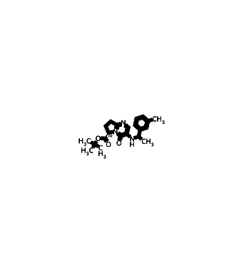 Cc1cccc(C(C)Nc2cnc3n(c2=O)[C@H](C(=O)OC(C)(C)C)CC3)c1